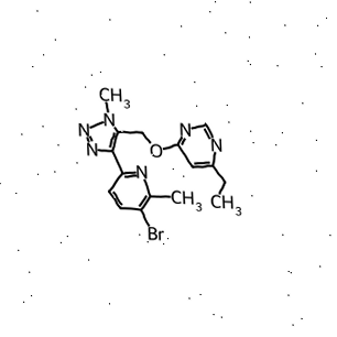 CCc1cc(OCc2c(-c3ccc(Br)c(C)n3)nnn2C)ncn1